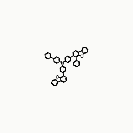 c1ccc(-c2ccc(N(c3ccc(-c4ccc5c(oc6ccccc65)c4-c4ccccc4)cc3)c3ccc(-c4cccc5c4oc4ccccc45)cc3)cc2)cc1